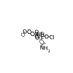 NC1C2CC(C(=O)[C@@H](NS(=O)(=O)c3ccc4cc(OC5CCCC5)ccc4c3)C(F)(F)c3ccc(Cl)cc3)CC3CC312